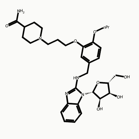 CCCOc1ccc(CNc2nc3ccccc3n2[C@@H]2O[C@H](CO)[C@@H](O)[C@H]2O)cc1OCCCN1CCC(C(N)=O)CC1